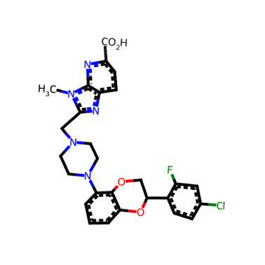 Cn1c(CN2CCN(c3cccc4c3OCC(c3ccc(Cl)cc3F)O4)CC2)nc2ccc(C(=O)O)nc21